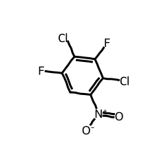 O=[N+]([O-])c1cc(F)c(Cl)c(F)c1Cl